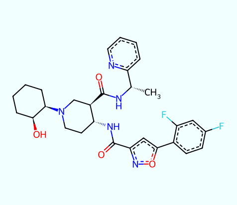 C[C@H](NC(=O)[C@@H]1CN([C@@H]2CCCC[C@@H]2O)CC[C@H]1NC(=O)c1cc(-c2ccc(F)cc2F)on1)c1ccccn1